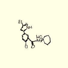 CCc1cc(-c2ccc(Cl)c(C(=O)NCC3(O)CCCCCC3)c2)[nH]n1